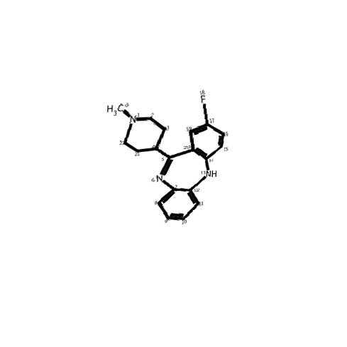 CN1CCC(C2=Nc3ccccc3Nc3ccc(F)cc32)CC1